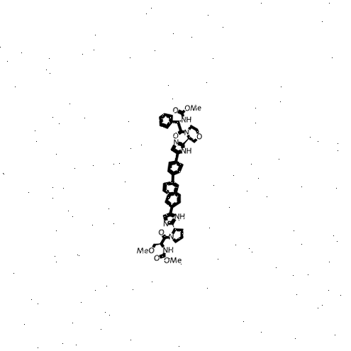 COC[C@H](NC(=O)OC)C(=O)N1CCC[C@H]1c1ncc(-c2ccc3cc(-c4ccc(-c5cnc([C@@H]6COCCN6C(=O)[C@@H](NC(=O)OC)c6ccccc6)[nH]5)cc4)ccc3c2)[nH]1